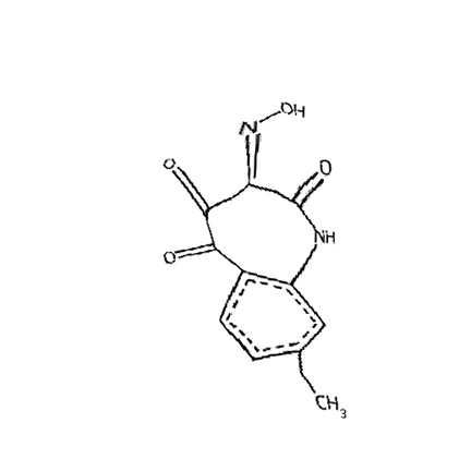 Cc1ccc2c(c1)NC(=O)C(=NO)C(=O)C2=O